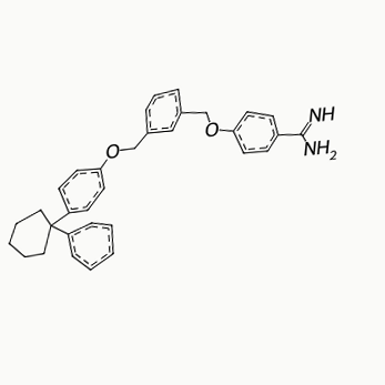 N=C(N)c1ccc(OCc2cccc(COc3ccc(C4(c5ccccc5)CCCCC4)cc3)c2)cc1